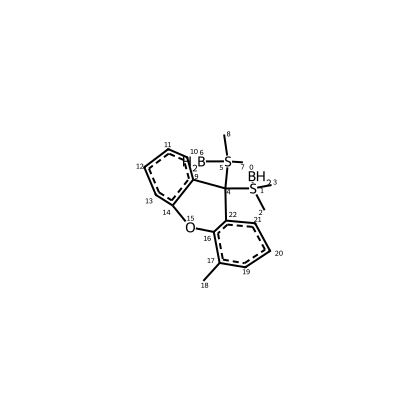 BS(C)(C)C1(S(B)(C)C)c2ccccc2Oc2c(C)cccc21